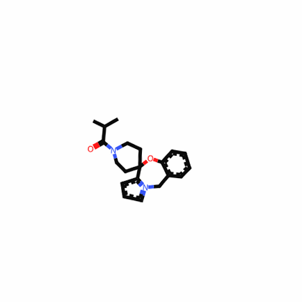 CC(C)C(=O)N1CCC2(CC1)Oc1ccccc1Cn1cccc12